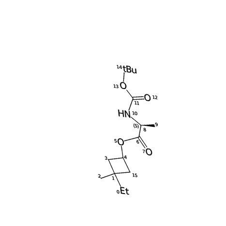 CCC1(C)CC(OC(=O)[C@H](C)NC(=O)OC(C)(C)C)C1